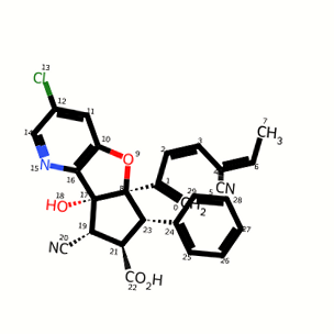 C=C(/C=C\C(C#N)=C/C)[C@@]12Oc3cc(Cl)cnc3[C@]1(O)[C@@H](C#N)[C@H](C(=O)O)[C@H]2c1ccccc1